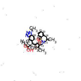 CCn1nnc2c(C)c([C@H](c3cc(CN4C[C@H](C)Cc5ccccc5S4(=O)=O)c(C)s3)C(C)(C)C(=O)O)ccc21